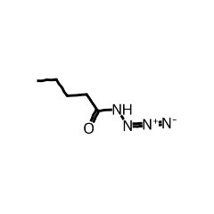 CCCCC(=O)NN=[N+]=[N-]